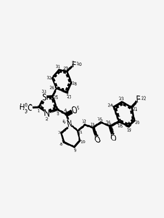 Cc1nc(C(=O)N2CCCCC2CC(=O)CC(=O)c2ccc(F)cc2)c(-c2ccc(F)cc2)s1